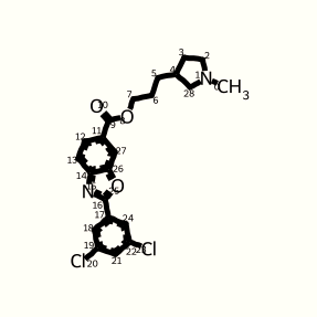 CN1CCC(CCCOC(=O)c2ccc3nc(-c4cc(Cl)cc(Cl)c4)oc3c2)C1